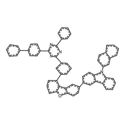 c1ccc(-c2ccc(-c3nc(-c4ccccc4)nc(-c4cccc(-c5cccc6oc7ccc(-c8ccc9c(c8)c8ccccc8n9-c8ccc9ccccc9c8)cc7c56)c4)n3)cc2)cc1